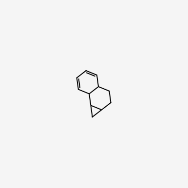 C1=CC2CCC3CC3C2C=C1